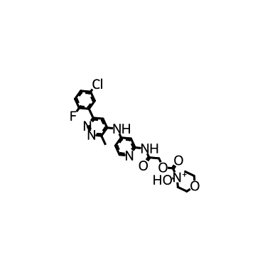 Cc1nnc(-c2cc(Cl)ccc2F)cc1Nc1ccnc(NC(=O)COC(=O)[N+]2(O)CCOCC2)c1